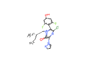 CC[C@H](C)Cn1c(-c2c(F)cc(O)cc2F)c(Cl)nc(-n2cccn2)c1=O